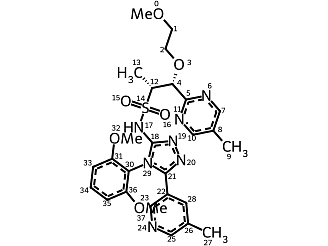 COCCO[C@H](c1ncc(C)cn1)[C@@H](C)S(=O)(=O)Nc1nnc(-c2cncc(C)c2)n1-c1c(OC)cccc1OC